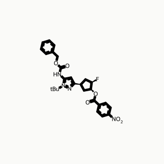 CC(C)(C)n1nc([C@H]2C[C@@H](F)[C@@H](OC(=O)c3ccc([N+](=O)[O-])cc3)C2)cc1NC(=O)OCc1ccccc1